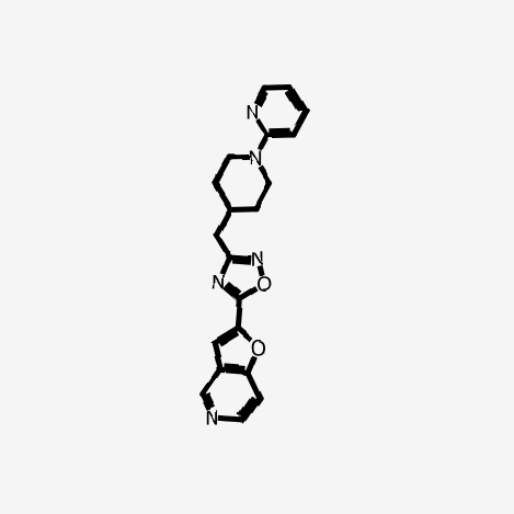 c1ccc(N2CCC(Cc3noc(-c4cc5cnccc5o4)n3)CC2)nc1